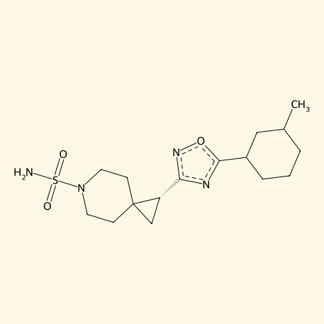 CC1CCCC(c2nc([C@@H]3CC34CCN(S(N)(=O)=O)CC4)no2)C1